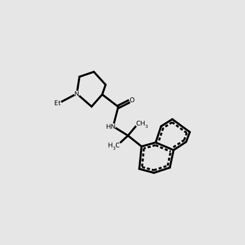 CCN1CCCC(C(=O)NC(C)(C)c2cccc3ccccc23)C1